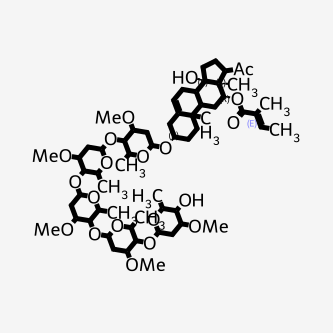 C/C=C(\C)C(=O)O[C@@H]1CC2C(CC=C3C[C@@H](OC4CC(OC)C(OC5CC(OC)C(OC6CC(OC)C(OC7CC(OC)C(OC8CC(OC)C(O)C(C)O8)C(C)O7)C(C)O6)C(C)O5)C(C)O4)CCC32C)[C@@]2(O)CCC(C(C)=O)[C@@]12C